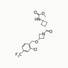 O=C1N[C@]2(CO1)C[C@@H](C(=O)N1CC(OCc3ccc(C(F)(F)F)cc3Cl)C1)C2